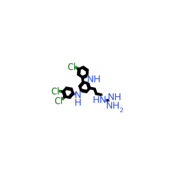 N=C(N)NCCCc1cc(Nc2ccc(Cl)c(Cl)c2)cc2c1[nH]c1ccc(Cl)cc12